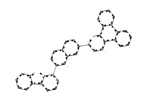 c1ccc2c(c1)oc1c(-c3ccc4ccc(-c5ccc6c7ccccc7c7ccccc7c6n5)cc4c3)cccc12